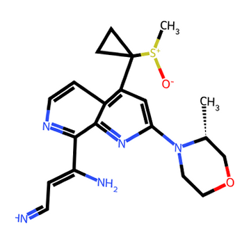 C[C@@H]1COCCN1c1cc(C2([S+](C)[O-])CC2)c2ccnc(/C(N)=C/C=N)c2n1